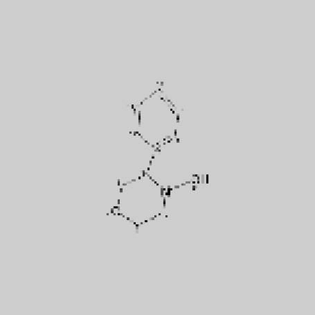 ON1CCOCC1c1ccccc1